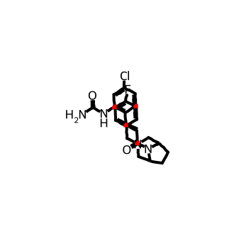 NC(=O)Nc1cc(Cl)ccc1C=CC(=O)N1C2CCC1CN(Cc1ccc(F)cc1)C2